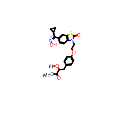 CCOC(Cc1ccc(OCCn2c(=O)sc3cc(/C(=N\O)C4CC4)ccc32)cc1)C(=O)OC